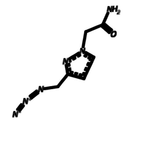 [N-]=[N+]=NCc1ccn(CC(N)=O)n1